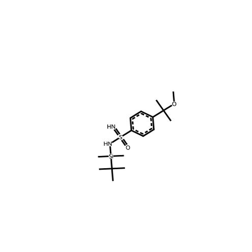 COC(C)(C)c1ccc(S(=N)(=O)N[Si](C)(C)C(C)(C)C)cc1